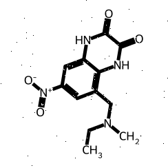 [CH2]N(CC)Cc1cc([N+](=O)[O-])cc2[nH]c(=O)c(=O)[nH]c12